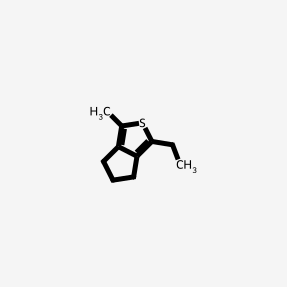 CCc1sc(C)c2c1CCC2